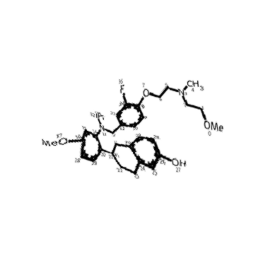 COCCN(C)CCOc1ccc(CN(c2cc(OC)ccc2[C@@H]2CCc3cc(O)ccc3C2)C(C)C)cc1F